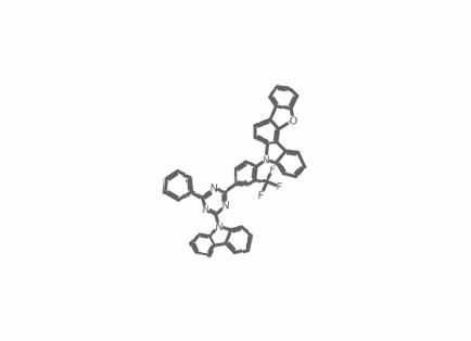 FC(F)(F)c1cc(-c2nc(-c3ccccc3)nc(-n3c4ccccc4c4ccccc43)n2)ccc1-n1c2ccccc2c2c3oc4ccccc4c3ccc21